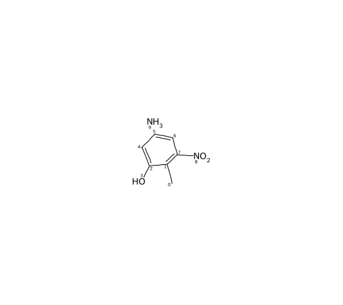 Cc1c(O)cccc1[N+](=O)[O-].N